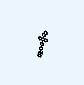 c1ccc2cc(-c3c4ccccc4c(-c4ccc(-c5ccc(-c6cn7ccccc7n6)cc5)cc4)c4ccccc34)ccc2c1